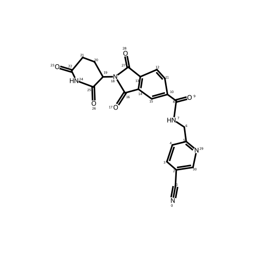 N#Cc1ccc(CNC(=O)c2ccc3c(c2)C(=O)N(C2CCC(=O)NC2=O)C3=O)nc1